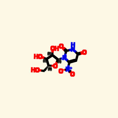 O=c1cc([N+](=O)[O-])n([C@@H]2O[C@H](CO)[C@@H](O)[C@H]2O)c(=O)[nH]1